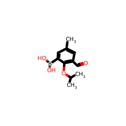 Cc1cc(C=O)c(OC(C)C)c(B(O)O)c1